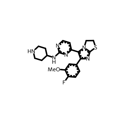 COc1cc(-c2nc3n(c2-c2ccnc(NC4CCNCC4)n2)CCS3)ccc1F